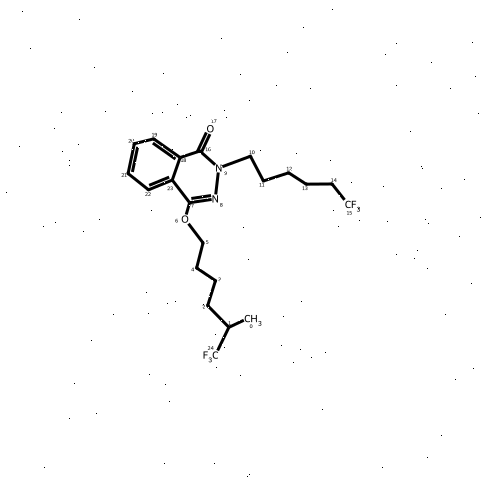 CC(CCCCOc1nn(CCCCCC(F)(F)F)c(=O)c2ccccc12)C(F)(F)F